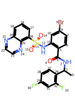 CC(NC(=O)c1ccc(Br)cc1NS(=O)(=O)c1cccc2nccnc12)c1ccc(F)cc1F